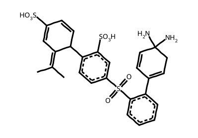 CC(C)=C1C=C(S(=O)(=O)O)C=CC1c1ccc(S(=O)(=O)c2ccccc2C2=CCC(N)(N)C=C2)cc1S(=O)(=O)O